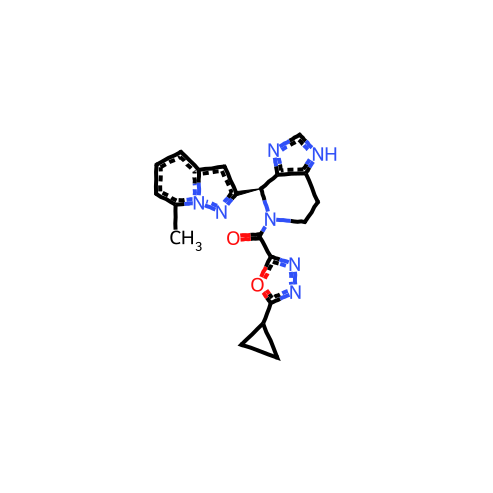 Cc1cccc2cc([C@H]3c4nc[nH]c4CCN3C(=O)c3nnc(C4CC4)o3)nn12